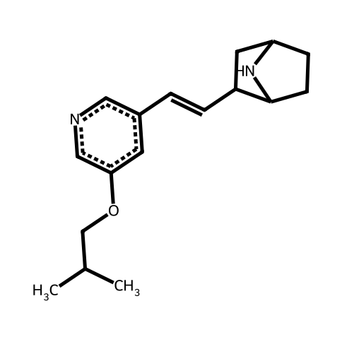 CC(C)COc1cncc(C=CC2CC3CCC2N3)c1